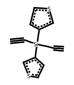 C#C[Si](C#C)(c1ccsc1)c1ccsc1